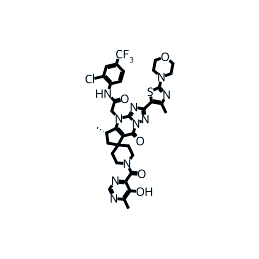 Cc1nc(N2CCOCC2)sc1-c1nc2n(CC(=O)Nc3ccc(C(F)(F)F)cc3Cl)c3c(c(=O)n2n1)C1(CCN(C(=O)c2ncnc(C)c2O)CC1)C[C@@H]3C